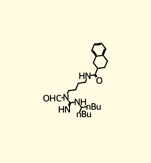 CCCCC(CCCC)NC(=N)N(C=O)CCCCNC(=O)C1CCc2ccccc2C1